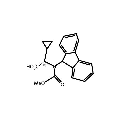 COC(=O)N(C1c2ccccc2-c2ccccc21)[C@H](C(=O)O)C1CC1